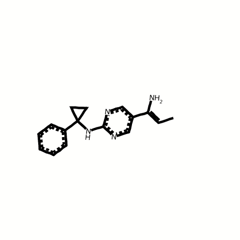 CC=C(N)c1cnc(NC2(c3ccccc3)CC2)nc1